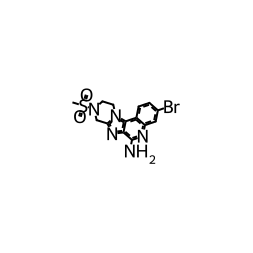 CS(=O)(=O)N1CCn2c(nc3c(N)nc4cc(Br)ccc4c32)C1